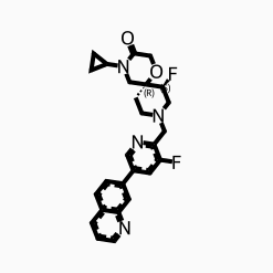 O=C1CO[C@]2(CCN(Cc3ncc(-c4ccc5cccnc5c4)cc3F)C[C@@H]2F)CN1C1CC1